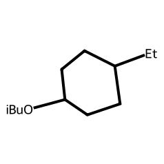 CCC1CCC(OCC(C)C)CC1